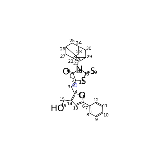 O=C1/C(=C/c2oc(-c3ccccc3)cc2CO)SC(=S)N1C1C2CC3CC(C2)CC1C3